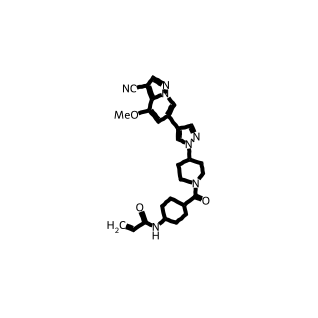 C=CC(=O)NC1CCC(C(=O)N2CCC(n3cc(-c4cc(OC)c5c(C#N)cnn5c4)cn3)CC2)CC1